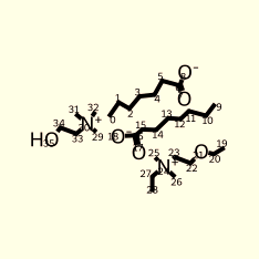 CCCCCCC(=O)[O-].CCCCCCCC(=O)[O-].CCOCC[N+](C)(C)CC.C[N+](C)(C)CCO